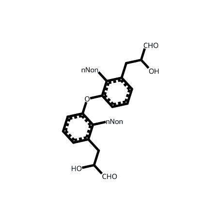 CCCCCCCCCc1c(CC(O)C=O)cccc1Oc1cccc(CC(O)C=O)c1CCCCCCCCC